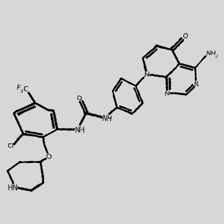 Nc1ncnc2c1c(=O)ccn2-c1ccc(NC(=O)Nc2cc(C(F)(F)F)cc(Cl)c2OC2CCNCC2)cc1